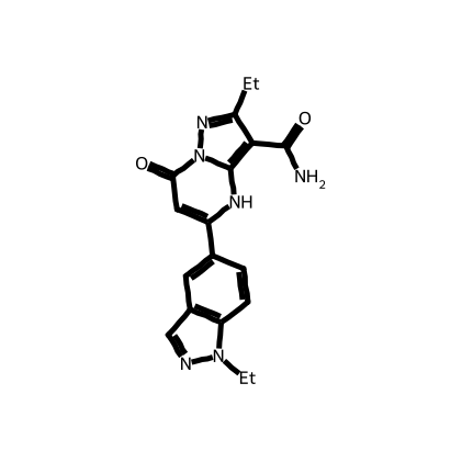 CCc1nn2c(=O)cc(-c3ccc4c(cnn4CC)c3)[nH]c2c1C(N)=O